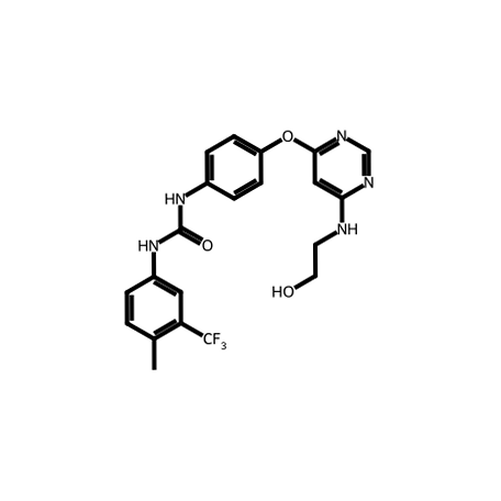 Cc1ccc(NC(=O)Nc2ccc(Oc3cc(NCCO)ncn3)cc2)cc1C(F)(F)F